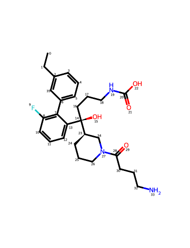 CCc1cccc(-c2c(F)cccc2[C@](O)(CCCNC(=O)O)[C@@H]2CCCN(C(=O)CCCN)C2)c1